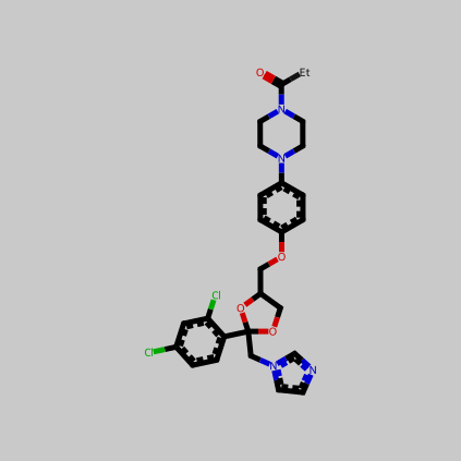 CCC(=O)N1CCN(c2ccc(OCC3COC(Cn4ccnc4)(c4ccc(Cl)cc4Cl)O3)cc2)CC1